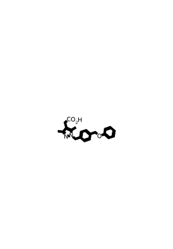 Cc1nn(Cc2ccc(COc3ccccc3)cc2)c(C)c1CC(=O)O